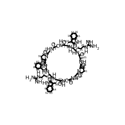 C[C@@H]1NC(=O)CNC(=O)[C@H](Cc2c[nH]c3ccccc23)NC(=O)[C@H](CCCNC(=N)N)NC(=O)[C@@H](C)NC(=O)[C@@H]2CCCN2C(=O)[C@H](C)NC(=O)CNC(=O)[C@H](Cc2c[nH]c3ccccc23)NC(=O)[C@H](CCCNC(=N)N)N[C@@H](Cc2ccccc2)NC(=O)[C@@H]2CCCN2C1=O